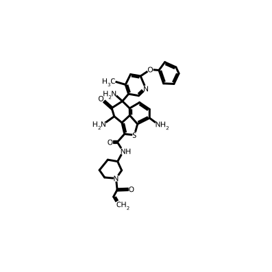 C=CC(=O)N1CCCC(NC(=O)c2sc3c(N)ccc4c3c2C(N)C(=O)C4(N)c2cnc(Oc3ccccc3)cc2C)C1